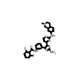 CN1CCc2ccc(Nc3nccc(-c4sc(N)nc4-c4cccc(NC(=O)c5c(F)cccc5F)c4)n3)cc2C1